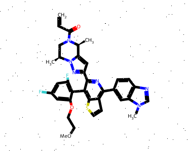 C=CC(=O)N1C[C@H](C)n2nc(-c3nc(-c4ccc5ncn(C)c5c4)c4ccsc4c3-c3c(F)cc(F)cc3OCCOC)cc2[C@@H]1C